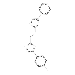 Fc1ccc(-c2noc(CSc3nnc(-c4ccncc4)o3)n2)cc1